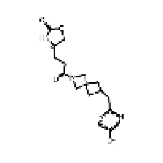 O=C1N[C@H](CCC(=O)N2CC3(CC(Cc4ncc(C(F)(F)F)cn4)C3)C2)CO1